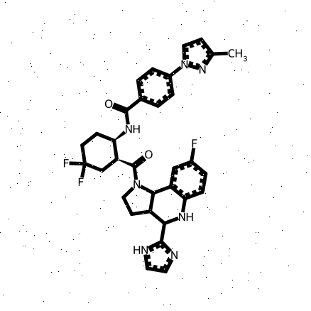 Cc1ccn(-c2ccc(C(=O)N[C@@H]3CCC(F)(F)C[C@@H]3C(=O)N3CCC4C(c5ncc[nH]5)Nc5ccc(F)cc5C43)cc2)n1